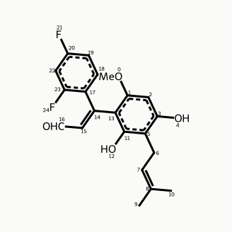 COc1cc(O)c(CC=C(C)C)c(O)c1/C(=C/C=O)c1ccc(F)cc1F